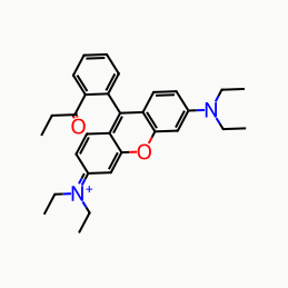 CCC(=O)c1ccccc1-c1c2ccc(=[N+](CC)CC)cc-2oc2cc(N(CC)CC)ccc12